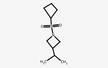 CC(C)C1CN(S(=O)(=O)C2CCC2)C1